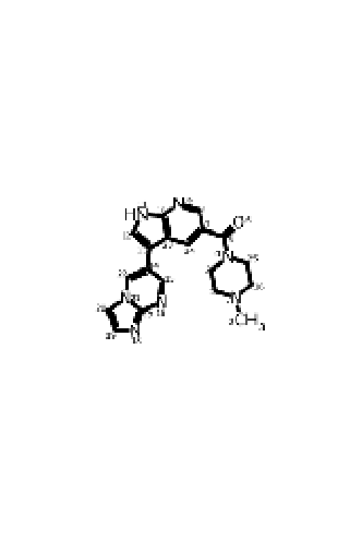 CN1CCN(C(=O)c2cnc3[nH]cc(-c4cnc5nccn5c4)c3c2)CC1